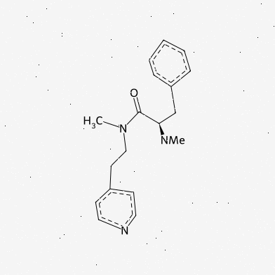 CN[C@H](Cc1ccccc1)C(=O)N(C)CCc1ccncc1